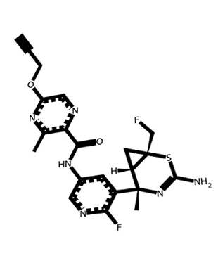 C#CCOc1cnc(C(=O)Nc2cnc(F)c([C@@]3(C)N=C(N)S[C@@]4(CF)C[C@H]43)c2)c(C)n1